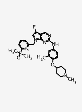 Cc1cc(Nc2ncc3c(F)cn(Cc4cccc(P(C)(C)=O)n4)c3n2)ccc1OC1CCN(C)CC1